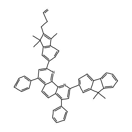 C=CCCC1=C(C)c2ccc(-c3cc(-c4ccccc4)c4ccc5c(-c6ccccc6)cc(-c6ccc7c(c6)C(C)(C)c6ccccc6-7)nc5c4n3)cc2C1(C)C